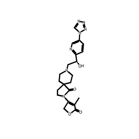 CC1=C(N2CCC3(CCN(C[C@H](O)c4ccc(-n5cnnn5)cn4)CC3)C2=O)COC1=O